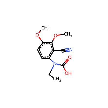 CCN(C(=O)O)c1ccc(OC)c(OC)c1C#N